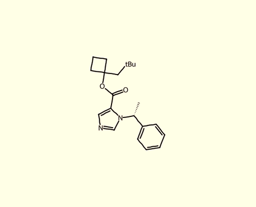 C[C@H](c1ccccc1)n1cncc1C(=O)OC1(CC(C)(C)C)CCC1